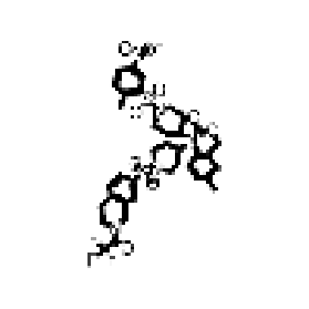 Cc1ccc2c(c1)COC(=O)[N+]2(C1CCN(S(=O)(=O)c2ccc3c(c2)CN(C(=O)C(F)(F)F)CC3)CC1)C1CCN(S(=O)(=O)c2cc([N+](=O)[O-])ccc2C)CC1